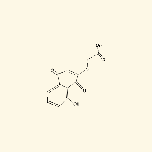 O=C(O)CSC1=CC(=O)c2cccc(O)c2C1=O